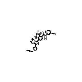 CC#CCN1CCC(c2nc(-c3ccc(C(=O)Nc4cc(C#N)ccn4)c(C(F)(F)F)c3)n3c(N)nccc23)C1